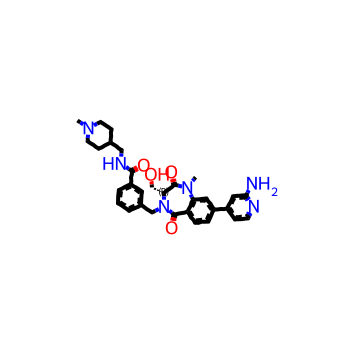 CN1CCC(CNC(=O)c2cccc(CN3C(=O)c4ccc(-c5ccnc(N)c5)cc4N(C)C(=O)[C@H]3CO)c2)CC1